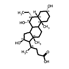 CC[C@H]1[C@@H](O)C2C3C[C@H](O)C([C@H](C)CCC(=O)O)[C@@]3(C)CCC2[C@@]2(C)CC[C@@H](O)C[C@@H]12